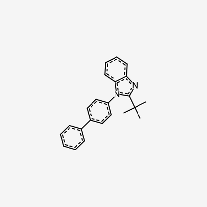 CC(C)(C)c1nc2ccccc2n1-c1ccc(-c2ccccc2)cc1